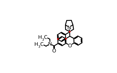 CCN(CC)C(=O)c1ccc2c(c1)Oc1ccccc1C2C1CC2CCC(C1)N2Cc1ccccc1